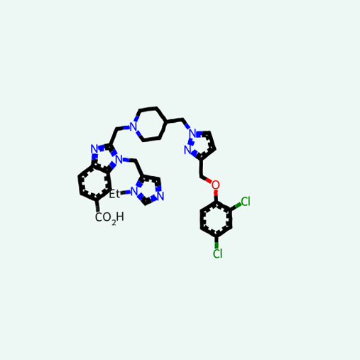 CCn1cncc1Cn1c(CN2CCC(Cn3ccc(COc4ccc(Cl)cc4Cl)n3)CC2)nc2ccc(C(=O)O)cc21